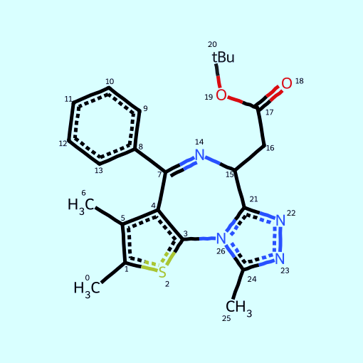 Cc1sc2c(c1C)C(c1ccccc1)=NC(CC(=O)OC(C)(C)C)c1nnc(C)n1-2